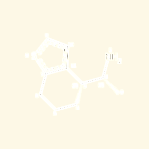 C[C@@H](N)[C@@H]1CCCc2sccc21